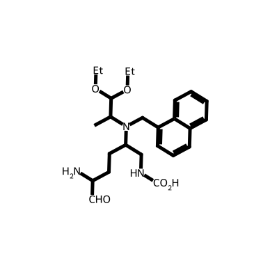 CCOC(OCC)C(C)N(Cc1cccc2ccccc12)C(CCC(N)C=O)CNC(=O)O